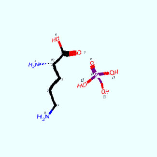 NCCC[C@H](N)C(=O)O.O=P(O)(O)O